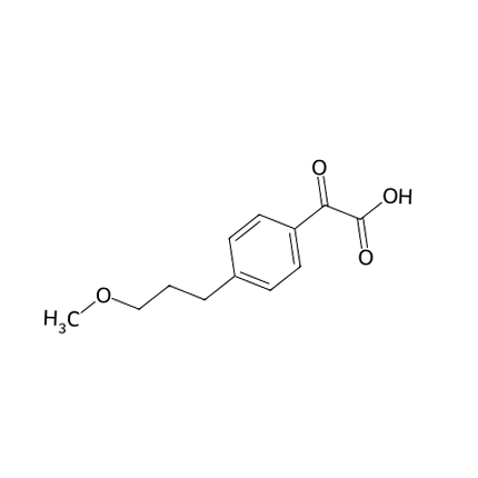 COCCCc1ccc(C(=O)C(=O)O)cc1